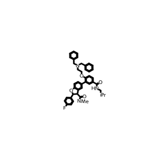 CNC(=O)C1c2cc(-c3cc(C(=O)NCC(C)C)ccc3OCCN(Cc3ccccc3)Cc3ccccc3)ccc2OC1c1ccc(F)cc1